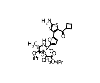 CC(C)OC(=O)[C@H](C)NP(=O)(N[C@@H](C)C(=O)OC(C)C)c1ccc(-c2nc(N)sc2C(=O)C2CCC2)o1